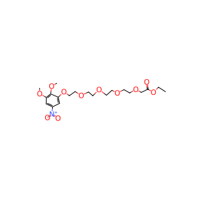 CCOC(=O)COCCOCCOCCOCCOc1cc([N+](=O)[O-])cc(OC)c1OC